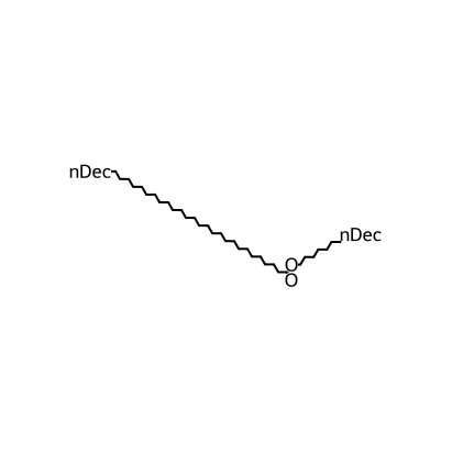 CCCCCCCCCCCCCCCCCCCCCCCCCCCCCCCCCCCCC(=O)OCCCCCCCCCCCCCCCCC